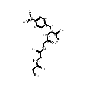 NCC(=O)NCC(=O)NCC(=O)N[C@@H](Cc1ccc([N+](=O)[O-])cc1)C(=O)O